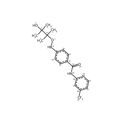 CC(C)(O)C(C)(C)OBc1ccc(C(=O)Nc2cc(C(F)(F)F)ccn2)cc1